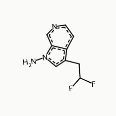 Nn1cc(CC(F)F)c2ccncc21